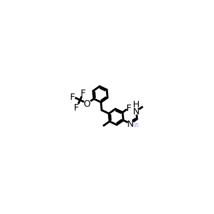 CN/C=N\c1cc(C)c(Cc2ccccc2OC(F)(F)F)cc1F